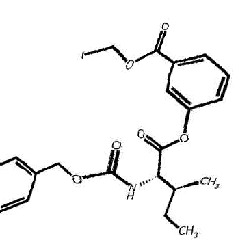 CC[C@H](C)[C@H](NC(=O)OCc1ccccc1)C(=O)Oc1cccc(C(=O)OCI)c1